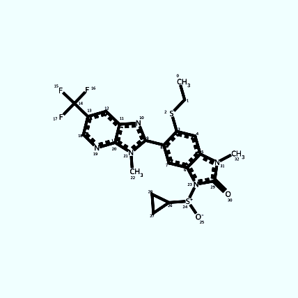 CCSc1cc2c(cc1-c1nc3cc(C(F)(F)F)cnc3n1C)n([S+]([O-])C1CC1)c(=O)n2C